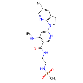 CC(C)Nc1cc(-n2ccc3cc(C#N)cnc32)ncc1C(=O)NCCNS(C)(=O)=O